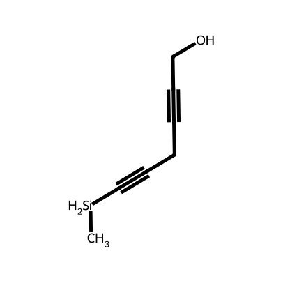 C[SiH2]C#CCC#CCO